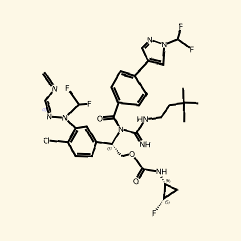 C=N/C=N\N(c1cc([C@@H](COC(=O)N[C@@H]2C[C@@H]2F)N(C(=N)NCCC(C)(C)C)C(=O)c2ccc(-c3cnn(C(F)F)c3)cc2)ccc1Cl)C(F)F